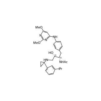 COc1cc(Nc2ccc(C[C@H](NC(C)=O)[C@@H](O)CNC3(c4cccc(C(C)C)c4)CC3)cc2)nc(OC)n1